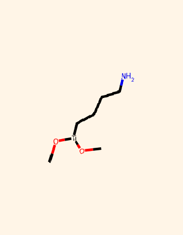 C[O][Ti]([CH2]CCCN)[O]C